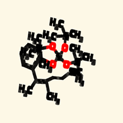 CC(CC[SiH3])=C(C)c1ccccc1O[Si](O[Si](C)(C)C)(O[Si](C)(C)C)O[Si](C)(C)C